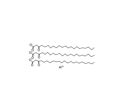 CCCCCCCCCCCCCCCCCCCC(=O)CC(=O)[O-].CCCCCCCCCCCCCCCCCCCC(=O)CC(=O)[O-].CCCCCCCCCCCCCCCCCCCC(=O)CC(=O)[O-].[Al+3]